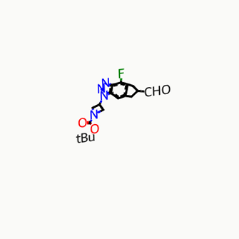 CC(C)(C)OC(=O)N1CC(n2nnc3c(F)c4c(cc32)CC(C=O)C4)C1